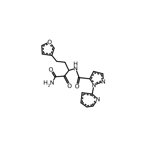 NC(=O)C(=O)C(CCc1ccoc1)NC(=O)c1ccnn1-c1ccccn1